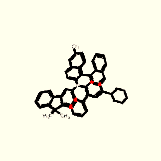 Cc1ccc2c(-c3cccc4ccccc34)c(N(c3ccc4c(c3)-c3ccccc3C4(C)C)c3ccc(C4CCCCC4)cc3-c3ccccc3)ccc2c1